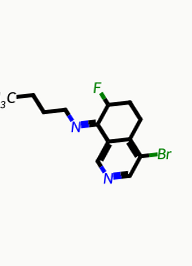 CCCC/N=C1/c2cncc(Br)c2CCC1F